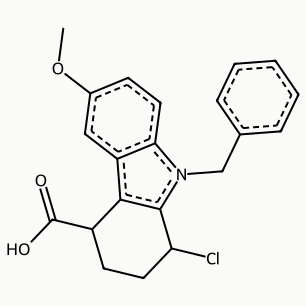 COc1ccc2c(c1)c1c(n2Cc2ccccc2)C(Cl)CCC1C(=O)O